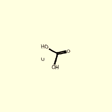 O=C(O)O.[U]